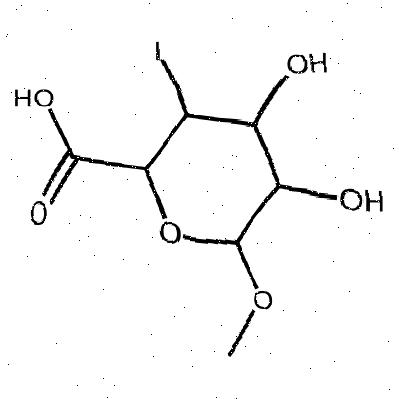 COC1OC(C(=O)O)C(I)C(O)C1O